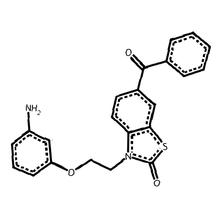 Nc1[c]c(OCCn2c(=O)sc3cc(C(=O)c4ccccc4)ccc32)ccc1